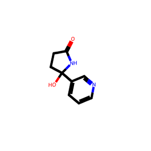 O=C1CCC(O)(c2cccnc2)N1